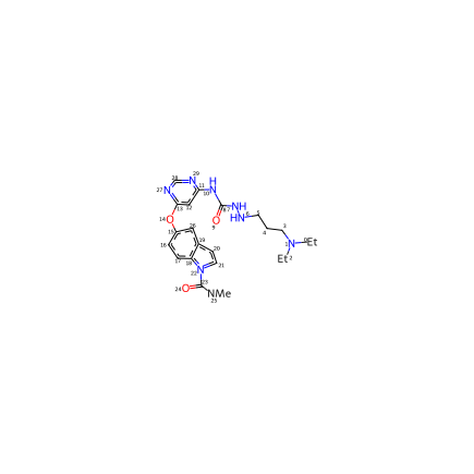 CCN(CC)CCCNNC(=O)Nc1cc(Oc2ccc3c(ccn3C(=O)NC)c2)ncn1